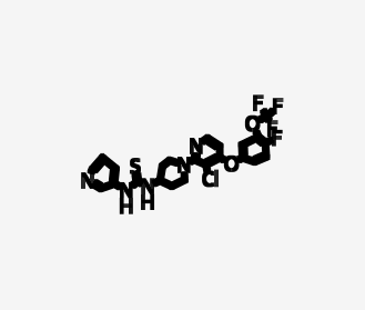 Fc1ccc(Oc2ccnc(N3CCC(NC(=S)Nc4cccnc4)CC3)c2Cl)cc1OC(F)(F)F